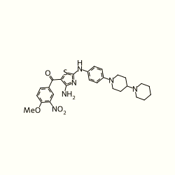 COc1ccc(C(=O)c2sc(Nc3ccc(N4CCC(N5CCCCC5)CC4)cc3)nc2N)cc1[N+](=O)[O-]